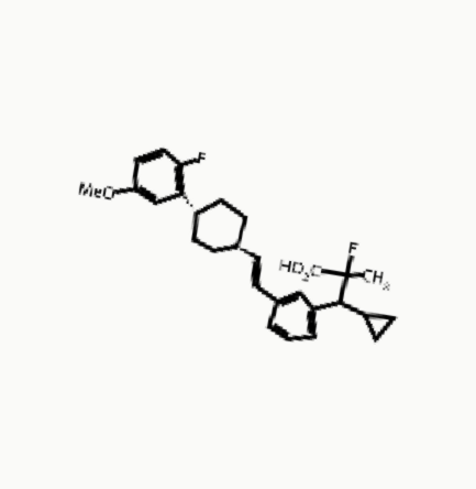 COc1ccc(F)c([C@H]2CC[C@H](/C=C/c3cccc(C(C4CC4)C(C)(F)C(=O)O)c3)CC2)c1